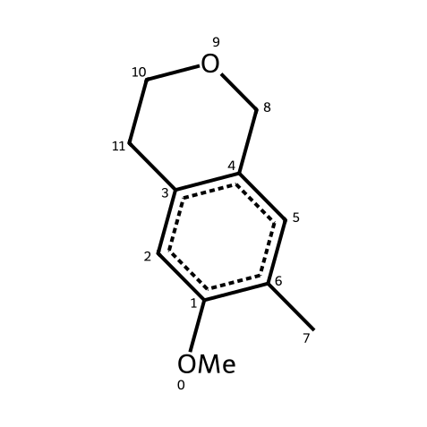 COc1cc2c(cc1C)COCC2